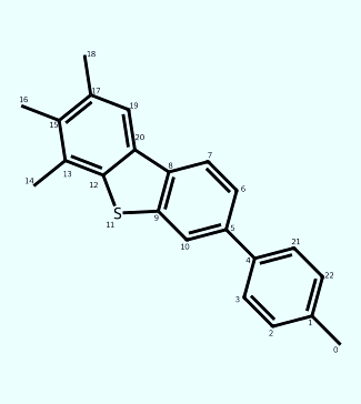 Cc1ccc(-c2ccc3c(c2)sc2c(C)c(C)c(C)cc23)cc1